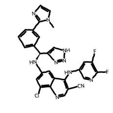 Cn1ccnc1-c1cccc([C@H](Nc2cc(Cl)c3ncc(C#N)c(Nc4cnc(F)c(F)c4)c3c2)c2c[nH]nn2)c1